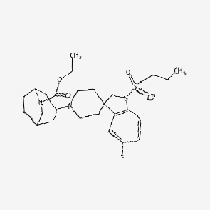 CCCS(=O)(=O)N1CC2(CCN(C3CC4CCC(C3)N(C(=O)OCC)C4)CC2)c2cc(F)ccc21